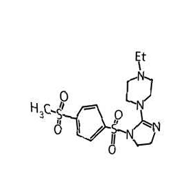 CCN1CCN(C2=NCCN2S(=O)(=O)c2ccc(S(C)(=O)=O)cc2)CC1